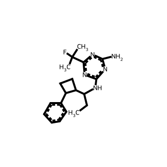 CCC(Nc1nc(N)nc(C(C)(C)F)n1)C1CCC1c1ccccc1